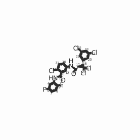 O=C(Nc1cc(F)ccc1F)c1cc(NC(=O)[C@H]2[C@H](c3cc(Cl)cc(Cl)c3)C2(Cl)Cl)ccc1Cl